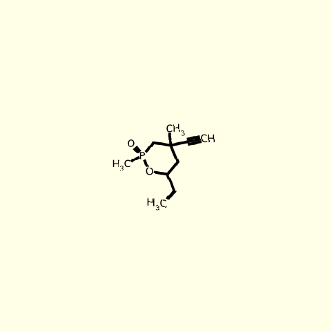 C#CC1(C)CC(CC)OP(C)(=O)C1